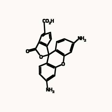 Nc1ccc2c(c1)Oc1cc(N)ccc1C21OC(=O)c2cc(C(=O)O)ccc21